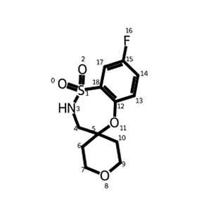 O=S1(=O)NCC2(CCOCC2)Oc2ccc(F)cc21